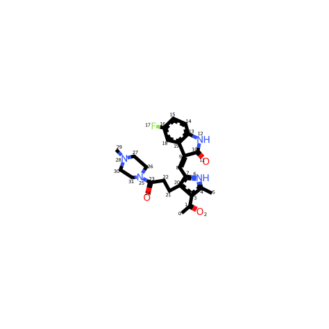 CC(=O)c1c(C)[nH]c(/C=C2\C(=O)Nc3ccc(F)cc32)c1CCC(=O)N1CCN(C)CC1